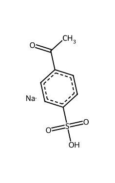 CC(=O)c1ccc(S(=O)(=O)O)cc1.[Na]